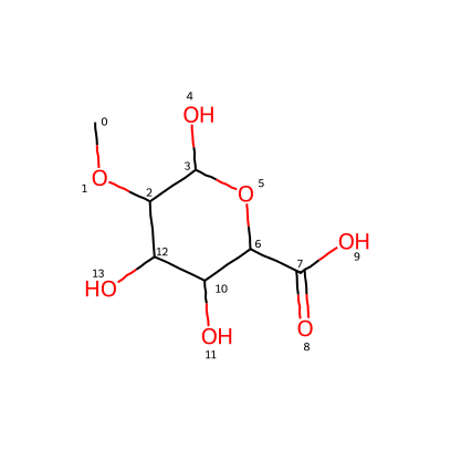 COC1C(O)OC(C(=O)O)C(O)C1O